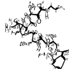 C=CCNC(=O)C(=O)C(CCC)NC(=O)[C@@H]1[C@@H]2[C@H](CN1C(=O)[C@@H](NC(=O)N[C@H](CN1C(=O)c3ccccc3[SH]1(C)=O)C(C)(C)C)C(C)(C)C)C2(C)C